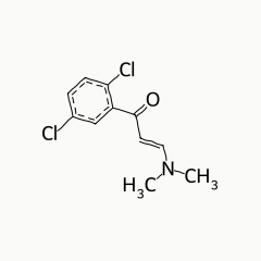 CN(C)/C=C/C(=O)c1cc(Cl)ccc1Cl